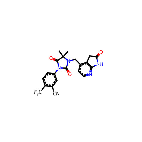 CC1(C)C(=O)N(c2ccc(C(F)(F)F)c(C#N)c2)C(=O)N1Cc1ccnc2c1CC(=O)N2